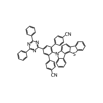 N#Cc1ccc(-c2cc(-c3nc(-c4ccccc4)nc(-c4ccccc4)n3)cc(-c3ccc(C#N)cc3)c2-n2c3ccccc3c3c4sc5ccccc5c4ccc32)cc1